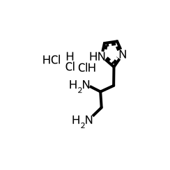 Cl.Cl.Cl.NCC(N)Cc1ncc[nH]1